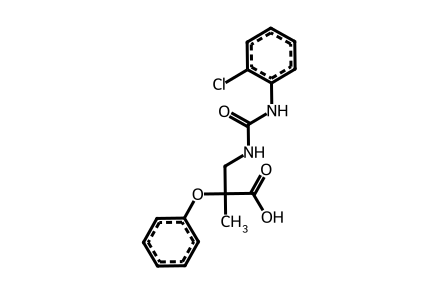 CC(CNC(=O)Nc1ccccc1Cl)(Oc1ccccc1)C(=O)O